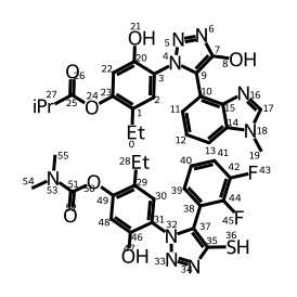 CCc1cc(-n2nnc(O)c2-c2cccc3c2ncn3C)c(O)cc1OC(=O)C(C)C.CCc1cc(-n2nnc(S)c2-c2cccc(F)c2F)c(O)cc1OC(=O)N(C)C